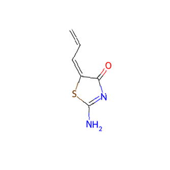 C=C/C=C1/SC(N)=NC1=O